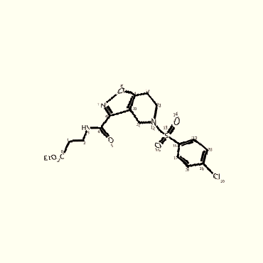 CCOC(=O)CCNC(=O)c1noc2c1CN(S(=O)(=O)c1ccc(Cl)cc1)CC2